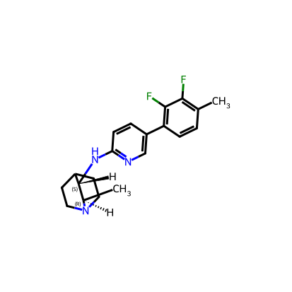 Cc1ccc(-c2ccc(N[C@H]3C4CCN(CC4)[C@@H]3C)nc2)c(F)c1F